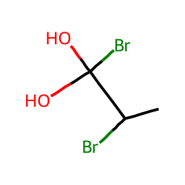 CC(Br)C(O)(O)Br